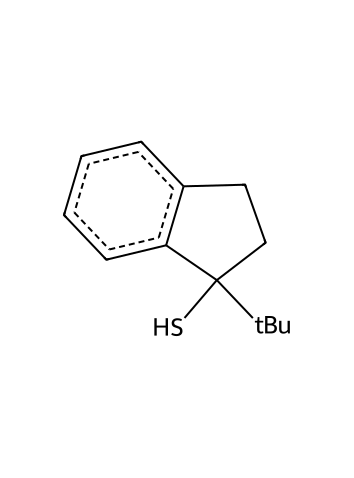 CC(C)(C)C1(S)CCc2ccccc21